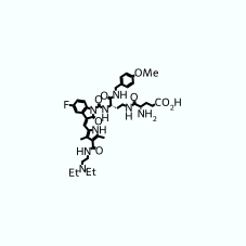 CCN(CC)CCNC(=O)c1c(C)[nH]c(/C=C2\C(=O)N(C(=O)N[C@@H](CCNC(=O)[C@@H](N)CCC(=O)O)C(=O)NCc3ccc(OC)cc3)c3ccc(F)cc32)c1C